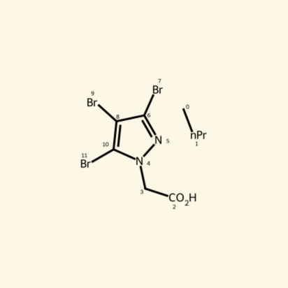 CCCC.O=C(O)Cn1nc(Br)c(Br)c1Br